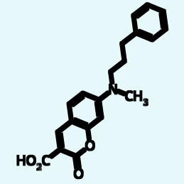 CN(CCCc1ccccc1)c1ccc2cc(C(=O)O)c(=O)oc2c1